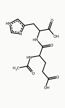 CC(=O)NC(CCC(=O)O)C(=O)NC(Cc1c[nH]cn1)C(=O)O